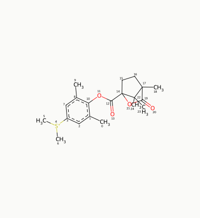 Cc1cc([S+](C)C)cc(C)c1OC(=O)C12CCC(C)(C(=O)O1)C2(C)C